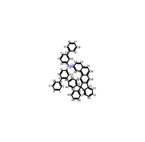 c1ccc(-c2ccc(N(c3cccc(-c4ccccc4)c3)c3ccc4ccc5cc6c(cc5c4c3)C(c3ccccc3)(c3ccccc3)c3ccccc3-6)cc2)cc1